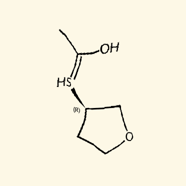 CC(O)=[SH][C@@H]1CCOC1